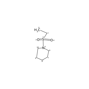 CCS(=O)(=O)N1CC[CH]CC1